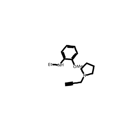 C#CCN1CCCC1.CCNc1ccccc1OC